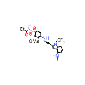 CCC(=O)NS(=O)(=O)c1ccc(NCC#Cc2cc3c(NI)cccc3n2CC(F)(F)F)c(OC)c1